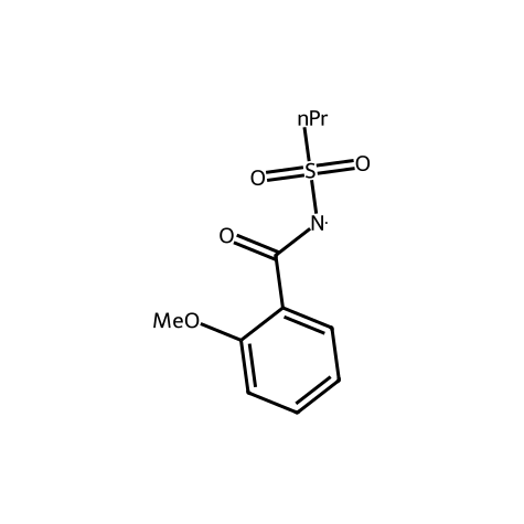 CCCS(=O)(=O)[N]C(=O)c1ccccc1OC